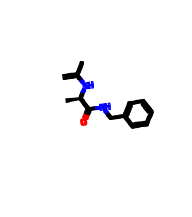 C=C(C)N[C@H](C)C(=O)NCc1ccccc1